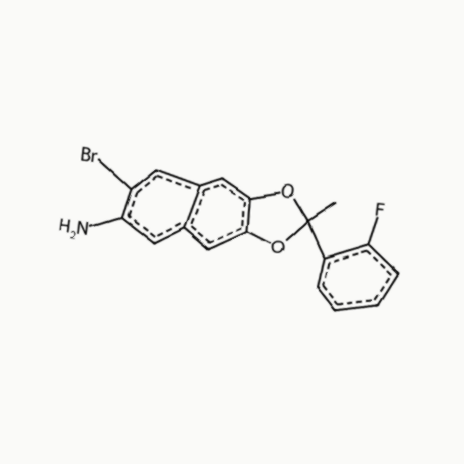 CC1(c2ccccc2F)Oc2cc3cc(N)c(Br)cc3cc2O1